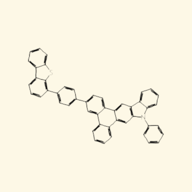 c1ccc(-n2c3ccccc3c3cc4c5ccc(-c6ccc(-c7cccc8c7sc7ccccc78)cc6)cc5c5ccccc5c4cc32)cc1